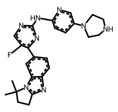 CC1(C)CCc2nc3ccc(-c4nc(Nc5ccc(N6CCNCC6)cn5)ncc4F)cc3n21